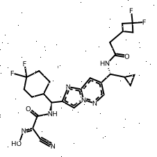 N#C/C(=N\O)C(=O)N[C@H](c1cn2ncc([C@H](NC(=O)CC3CC(F)(F)C3)C3CC3)cc2n1)C1CCC(F)(F)CC1